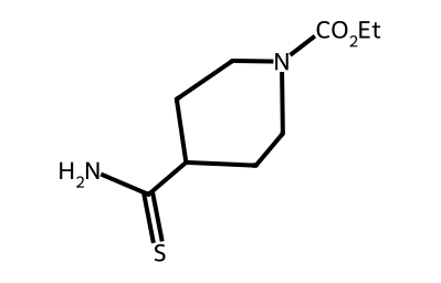 CCOC(=O)N1CCC(C(N)=S)CC1